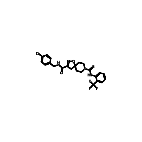 O=C(NCc1ccc(Cl)cc1)C1=NOC2(CCN(C(=S)Nc3ccccc3C(F)(F)F)CC2)C1